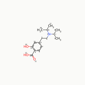 CC(C)N(CCc1ccc(C(=O)O)c(O)c1)C(C)C